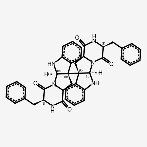 O=C1N[C@@H](Cc2ccccc2)C(=O)N2C1C[C@]1([C@]34CC5C(=O)N[C@@H](Cc6ccccc6)C(=O)N5[C@H]3Nc3ccccc34)c3ccccc3N[C@H]21